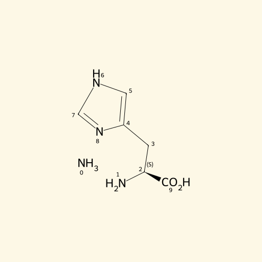 N.N[C@@H](Cc1c[nH]cn1)C(=O)O